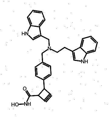 O=C(NO)C1C#CC1c1ccc(CN(CCc2c[nH]c3ccccc23)Cc2c[nH]c3ccccc23)cc1